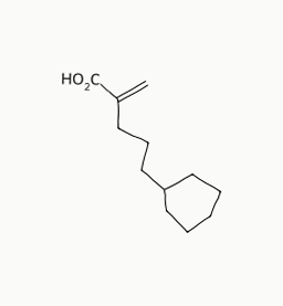 C=C(CCCC1CCCCC1)C(=O)O